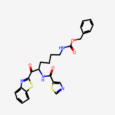 O=C(NCCCCC(NC(=O)c1cncs1)C(=O)c1nc2ccccc2s1)OCc1ccccc1